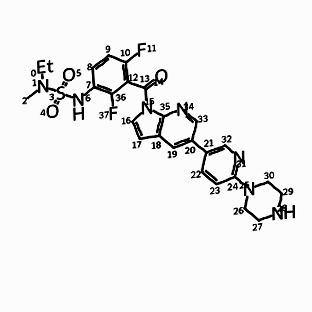 CCN(C)S(=O)(=O)Nc1ccc(F)c(C(=O)n2ccc3cc(-c4ccc(N5CCNCC5)nc4)cnc32)c1F